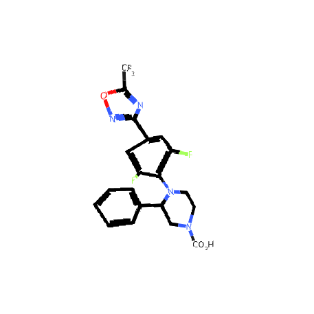 O=C(O)N1CCN(c2c(F)cc(-c3noc(C(F)(F)F)n3)cc2F)C(c2ccccc2)C1